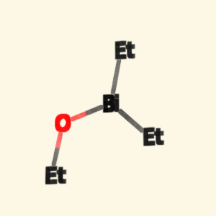 CC[O][Bi]([CH2]C)[CH2]C